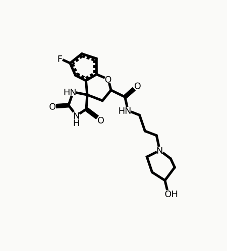 O=C1NC(=O)C2(CC(C(=O)NCCCN3CCC(O)CC3)Oc3ccc(F)cc32)N1